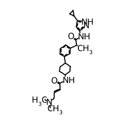 CC(C(=O)Nc1cc(C2CC2)[nH]n1)c1cccc(C2CCC(NC(=O)/C=C/CN(C)C)CC2)c1